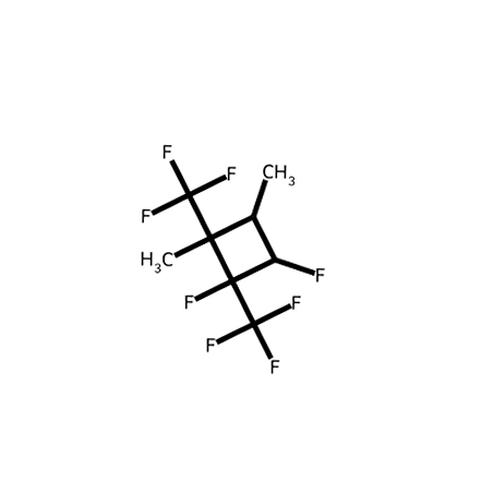 CC1C(F)C(F)(C(F)(F)F)C1(C)C(F)(F)F